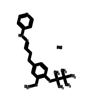 COc1cc(CCC=NNc2ccncc2)ccc1O[Si](C)(C)C(C)(C)C.Cl